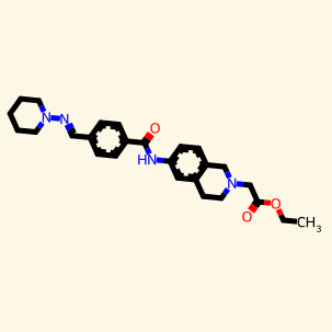 CCOC(=O)CN1CCc2cc(NC(=O)c3ccc(C=NN4CCCCC4)cc3)ccc2C1